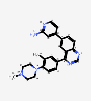 Cc1cc(-c2ncnc3ccc(-c4ccnc(N)c4)cc23)ccc1N1CCN(C)CC1